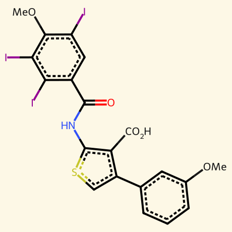 COc1cccc(-c2csc(NC(=O)c3cc(I)c(OC)c(I)c3I)c2C(=O)O)c1